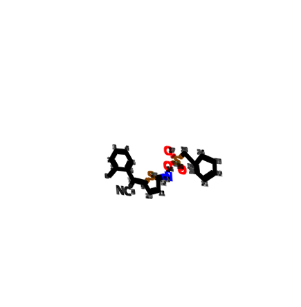 Cc1ccccc1/C(C#N)=C1C=C/C(=N/OS(=O)(=O)Cc2ccccc2)S/1